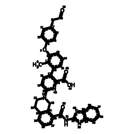 Cc1c(Oc2ccc(CC=O)cc2)cccc1-c1ccc(N2CCc3cccc(C(=O)Nc4nc5ccccc5s4)c3C2)nc1C(=O)O